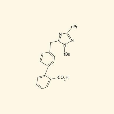 CCCc1nc(Cc2ccc(-c3ccccc3C(=O)O)cc2)n(C(C)(C)C)n1